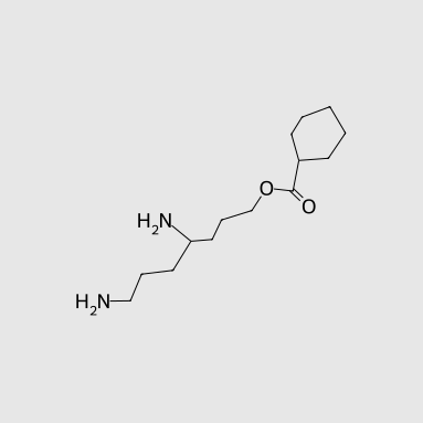 NCCCC(N)CCCOC(=O)C1CCCCC1